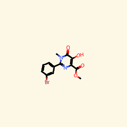 COC(=O)c1nc(-c2cccc(Br)c2)n(C)c(=O)c1O